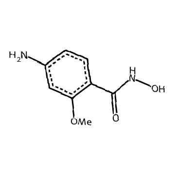 COc1cc(N)ccc1C(=O)NO